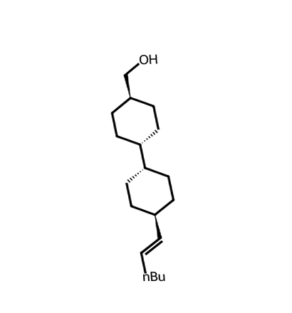 CCCCC=C[C@H]1CC[C@H]([C@H]2CC[C@H](CO)CC2)CC1